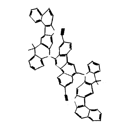 CC1(C)c2ccccc2N(c2cc3c4ccc(C#N)cc4c(N4c5ccccc5C(C)(C)c5cc6c(cc54)sc4ccc5ccccc5c46)cc3c3ccc(C#N)cc23)c2cc3sc4ccc5ccccc5c4c3cc21